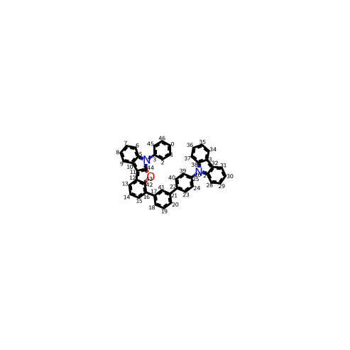 c1ccc(-n2c3ccccc3c3c4cccc(-c5cccc(-c6ccc(-n7c8ccccc8c8ccccc87)cc6)c5)c4oc32)cc1